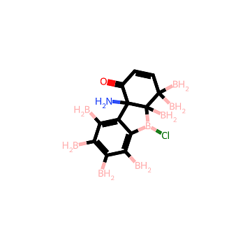 Bc1c(B)c(B)c2c(c1B)B(Cl)C1(B)C(B)(B)C=CC(=O)C21N